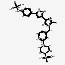 Cc1nc(-c2cc(-c3ccc(OC(C)(F)F)cc3)on2)nn1Cc1ccnc(N2CCC(S(C)(=O)=O)CC2)c1